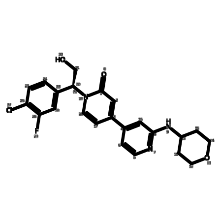 O=c1cc(-c2ccnc(NC3CCOCC3)c2)ccn1[C@H](CO)c1ccc(Cl)c(F)c1